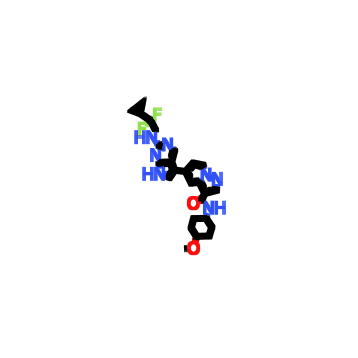 COC1CCC(NC(=O)c2cnn3ccc(-c4c[nH]c5nc(NCC(F)(F)C6CC6)ncc45)cc23)CC1